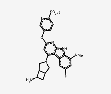 CCOC(=O)c1ncc(Oc2nc(N3CC4C[C@@H](N)C4C3)c3c(n2)[nH]c2c(NC)cc(F)cc23)cn1